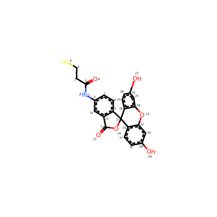 O=C(CCS)Nc1ccc2c(c1)C(=O)OC21c2ccc(O)cc2Oc2cc(O)ccc21